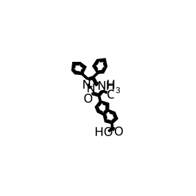 Cc1[nH]c2c(-c3ccccc3)c(-c3ccccc3)nn2c(=O)c1-c1ccc2cc(C(=O)O)ccc2c1